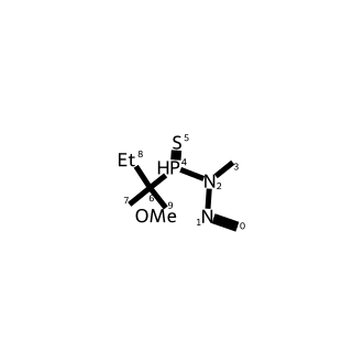 C=NN(C)[PH](=S)C(C)(CC)OC